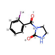 O=C1NCCN1C(=O)c1ccccc1I